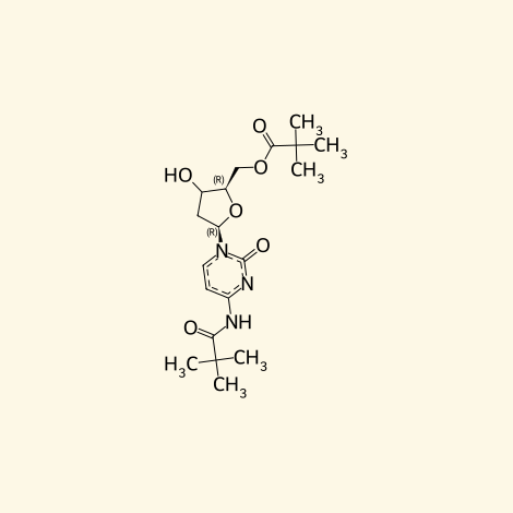 CC(C)(C)C(=O)Nc1ccn([C@H]2CC(O)[C@@H](COC(=O)C(C)(C)C)O2)c(=O)n1